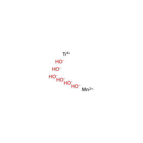 [Mn+2].[OH-].[OH-].[OH-].[OH-].[OH-].[OH-].[Ti+4]